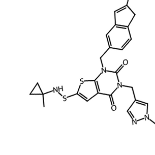 Cn1cc(Cn2c(=O)c3cc(SNC4(C)CC4)sc3n(Cc3ccc4c(c3)C=C(CO)C4)c2=O)cn1